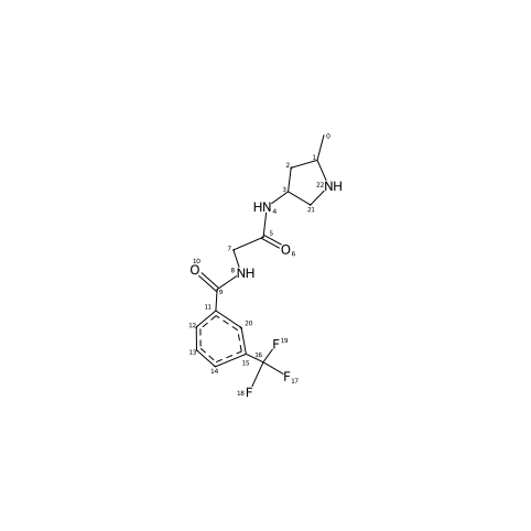 CC1CC(NC(=O)CNC(=O)c2cccc(C(F)(F)F)c2)CN1